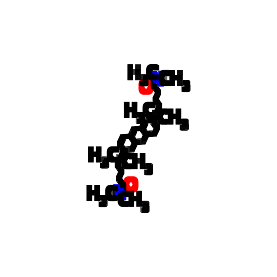 CN(C)C(=O)CCCC(C)(C)c1ccc2cc3cc(C(C)(C)CCCC(=O)N(C)C)ccc3cc2c1